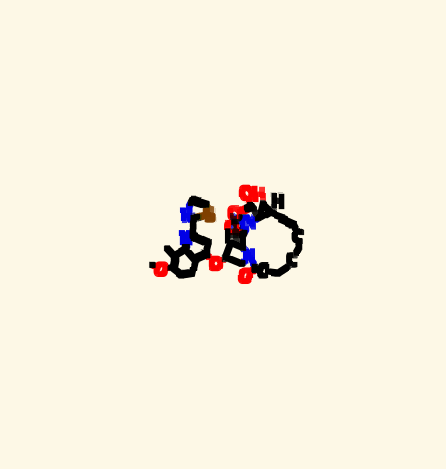 COc1ccc2c(O[C@@H]3C[C@H]4C(=O)N[C@]5(C(=O)O)C[C@H]5/C=C\CCCCCCC(=O)N4C3)cc(-c3nccs3)nc2c1C